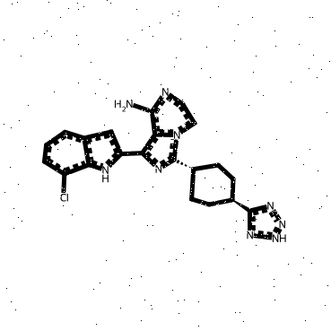 Nc1nccn2c1c(-c1cc3cccc(Cl)c3[nH]1)nc2[C@H]1CC[C@H](c2nn[nH]n2)CC1